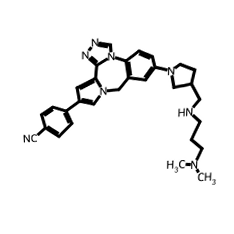 CN(C)CCCNCC1CCN(c2ccc3c(c2)Cn2cc(-c4ccc(C#N)cc4)cc2-c2nncn2-3)C1